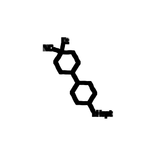 CCCCCCCC1CCC(C2CCC(C#N)(CC)CC2)CC1